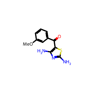 COc1cccc(C(=O)c2sc(N)nc2N)c1